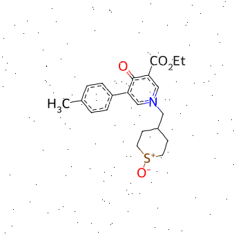 CCOC(=O)c1cn(CC2CC[S+]([O-])CC2)cc(-c2ccc(C)cc2)c1=O